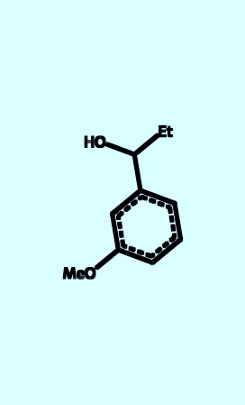 [CH2]CC(O)c1cccc(OC)c1